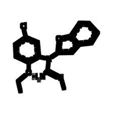 CCOc1ccc(Cl)cc1N(C(N)=NC)c1cc2ccccc2o1